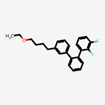 CCOCCCCc1cccc(-c2ccccc2-c2cccc(F)c2F)c1